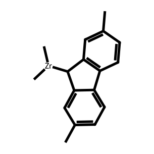 Cc1ccc2c(c1)[CH]([Zr]([CH3])[CH3])c1cc(C)ccc1-2